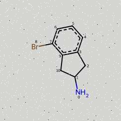 NC1Cc2cccc(Br)c2C1